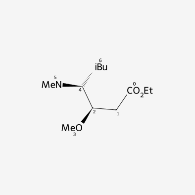 CCOC(=O)C[C@@H](OC)[C@@H](NC)[C@@H](C)CC